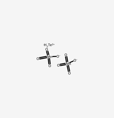 [O]=[Mn](=[O])(=[O])[O-].[O]=[Mn](=[O])(=[O])[O-].[TeH2+2]